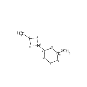 CC1CN(C2CCCN(C)C2)C1